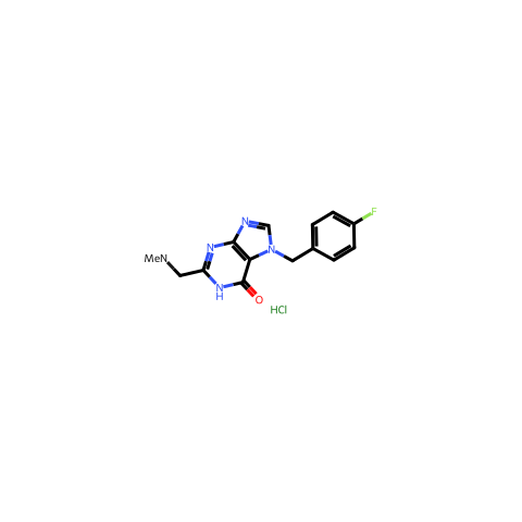 CNCc1nc2ncn(Cc3ccc(F)cc3)c2c(=O)[nH]1.Cl